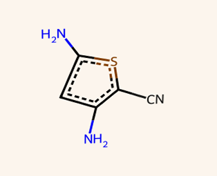 N#Cc1sc(N)cc1N